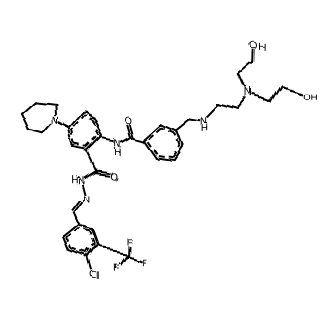 O=C(Nc1ccc(N2CCCCC2)cc1C(=O)N/N=C/c1ccc(Cl)c(C(F)(F)F)c1)c1cccc(CNCCN(CCO)CCO)c1